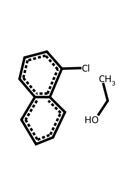 CCO.Clc1cccc2ccccc12